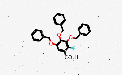 O=C(O)c1cc(OCc2ccccc2)c(OCc2ccccc2)c(OCc2ccccc2)c1F